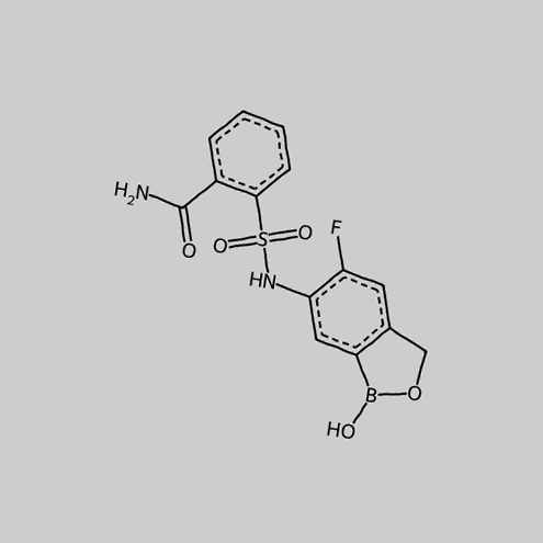 NC(=O)c1ccccc1S(=O)(=O)Nc1cc2c(cc1F)COB2O